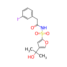 CC(C)(O)c1coc(S(=O)(=O)NC(=O)Cc2cccc(I)c2)c1